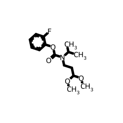 COC(CCN(C(=O)Oc1ccccc1F)C(C)C)OC